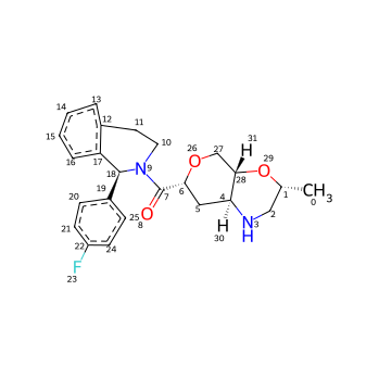 C[C@@H]1CN[C@H]2C[C@H](C(=O)N3CCc4ccccc4[C@@H]3c3ccc(F)cc3)OC[C@@H]2O1